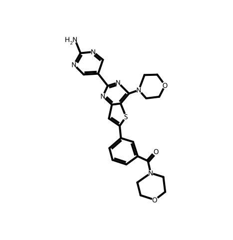 Nc1ncc(-c2nc(N3CCOCC3)c3sc(-c4cccc(C(=O)N5CCOCC5)c4)cc3n2)cn1